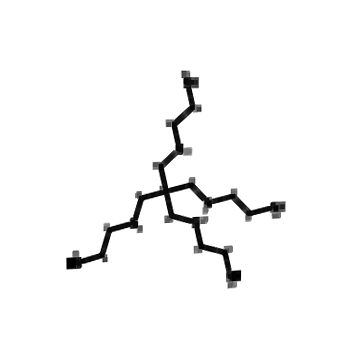 SCCSCC(CSCCS)(CSCCS)CSCCS